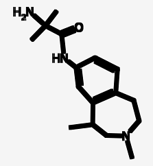 CC1CN(C)CCc2ccc(NC(=O)C(C)(C)N)cc21